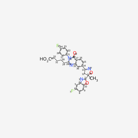 CC1(c2nc3cc(F)ccc3o2)CC(c2ccc3c(=O)n(-c4ccc(F)cc4)c(CCCCC(=O)O)nc3c2)=NO1